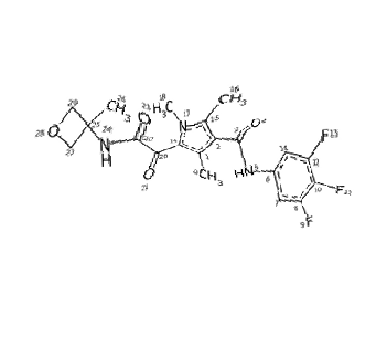 Cc1c(C(=O)Nc2cc(F)c(F)c(F)c2)c(C)n(C)c1C(=O)C(=O)NC1(C)COC1